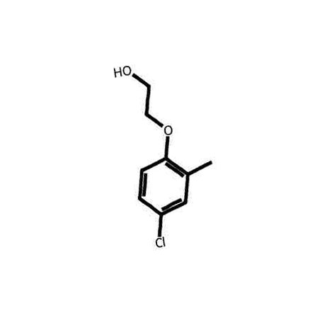 Cc1cc(Cl)ccc1OCCO